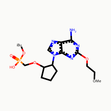 CCC(C)OP(=O)(O)COC1CCCC1n1cnc2c(N)nc(OCCOC)nc21